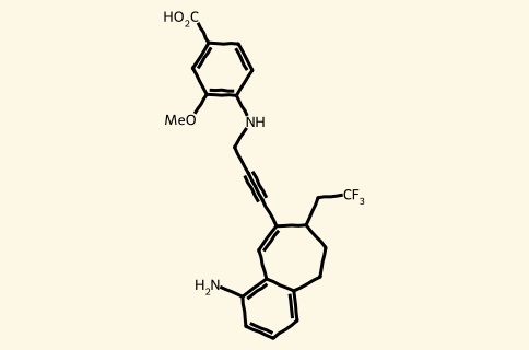 COc1cc(C(=O)O)ccc1NCC#CC1=Cc2c(N)cccc2CCC1CC(F)(F)F